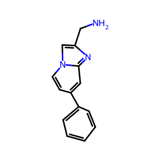 NCc1cn2ccc(-c3ccccc3)cc2n1